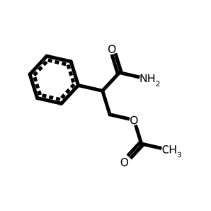 CC(=O)OCC(C(N)=O)c1ccccc1